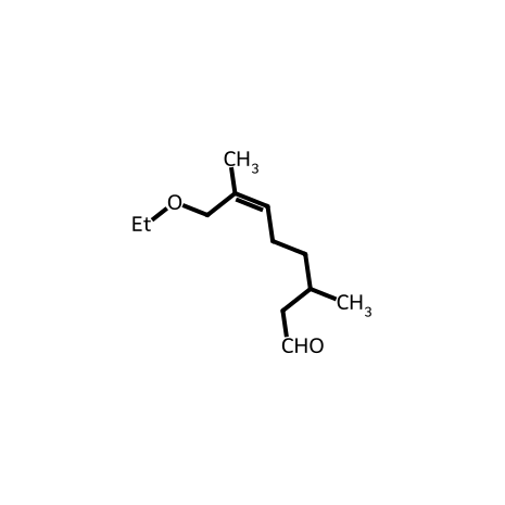 CCOC/C(C)=C\CCC(C)CC=O